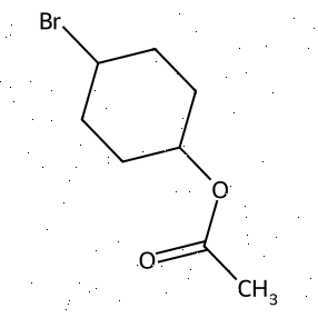 CC(=O)OC1CCC(Br)CC1